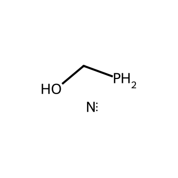 OCP.[N]